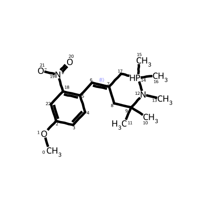 COc1ccc(/C=C2\CC(C)(C)N(C)[PH](C)(C)C2)c([N+](=O)[O-])c1